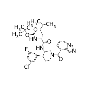 CC(C)CC[C@@H](NC(=O)OC(C)(C)C)C(=O)N[C@@H]1CN(C(=O)c2cccn3cncc23)CC[C@H]1c1cc(F)cc(Cl)c1